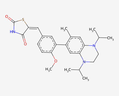 COc1ccc(/C=C2/SC(=O)NC2=O)cc1-c1cc2c(cc1C)N(C(C)C)CCN2C(C)C